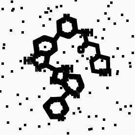 O=C(CC1CCNCC1)Nc1cncc(-c2ccc3[nH]nc(-c4nc5c(-c6cccnc6)nccc5[nH]4)c3c2)c1